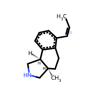 C/C=C\c1cccc2c1CC[C@@]1(C)CNC[C@@H]21